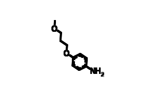 COCCCOc1ccc(N)cc1